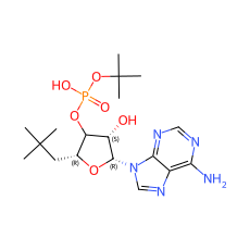 CC(C)(C)C[C@H]1O[C@@H](n2cnc3c(N)ncnc32)[C@@H](O)C1OP(=O)(O)OC(C)(C)C